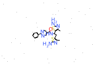 Cc1nc(N)sc1CC(NC(=O)c1cnc(-c2ccccc2)nc1)c1sc(N)nc1C